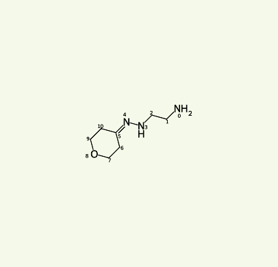 NCCNN=C1CCOCC1